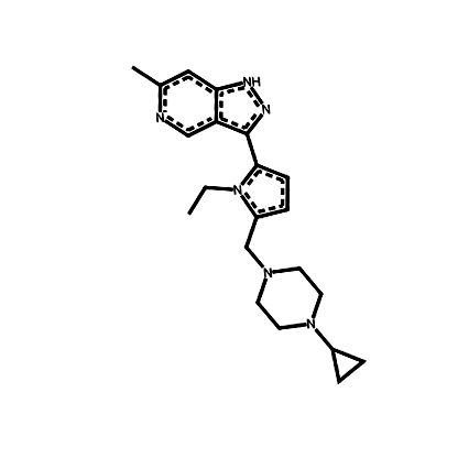 CCn1c(CN2CCN(C3CC3)CC2)ccc1-c1n[nH]c2cc(C)ncc12